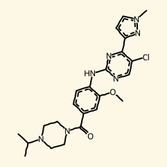 COc1cc(C(=O)N2CCN(C(C)C)CC2)ccc1Nc1ncc(Cl)c(-c2ccn(C)n2)n1